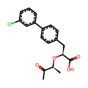 CC(=O)[C@H](C)O[C@@H](Cc1ccc(-c2cccc(Cl)c2)cc1)C(=O)O